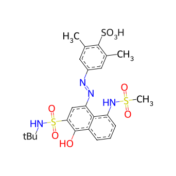 Cc1cc(N=Nc2cc(S(=O)(=O)NC(C)(C)C)c(O)c3cccc(NS(C)(=O)=O)c23)cc(C)c1S(=O)(=O)O